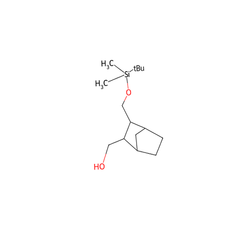 CC(C)(C)[Si](C)(C)OCC1C2CCC(C2)C1CO